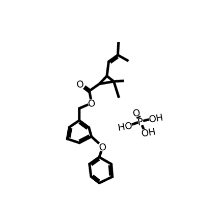 CC(C)=CC1C(C(=O)OCc2cccc(Oc3ccccc3)c2)C1(C)C.O=P(O)(O)O